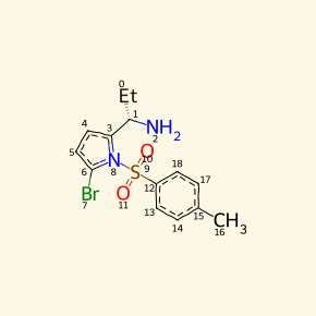 CC[C@H](N)c1ccc(Br)n1S(=O)(=O)c1ccc(C)cc1